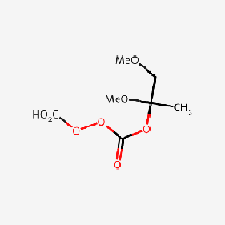 COCC(C)(OC)OC(=O)OOC(=O)O